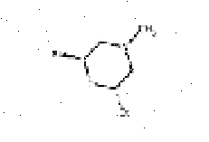 CC[C@H]1CN(C)C[C@H](CC)O1